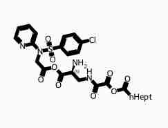 CCCCCCCC(=O)OC(=O)C(=O)NC[C@H](N)C(=O)OC(=O)CN(c1ccccn1)S(=O)(=O)c1ccc(Cl)cc1